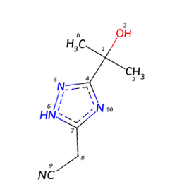 CC(C)(O)c1n[nH]c(CC#N)n1